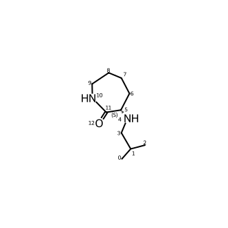 CC(C)CN[C@H]1CCCCNC1=O